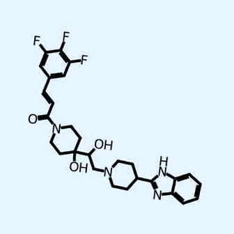 O=C(C=Cc1cc(F)c(F)c(F)c1)N1CCC(O)(C(O)CN2CCC(c3nc4ccccc4[nH]3)CC2)CC1